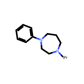 CC(C)N1CCCN(c2ccccc2)CC1